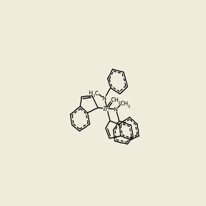 [CH2]=[Zr]([CH]1C=Cc2ccccc21)([CH]1C=Cc2ccccc21)([N](C)c1ccccc1)[N](C)c1ccccc1